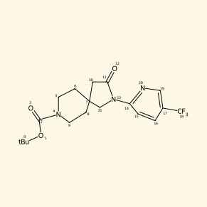 CC(C)(C)OC(=O)N1CCC2(CC1)CC(=O)N(c1ccc(C(F)(F)F)cn1)C2